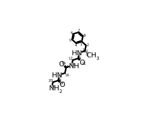 C[C@@H](Cc1ccccc1)NC(=O)CNC(=O)CNC(=O)CN